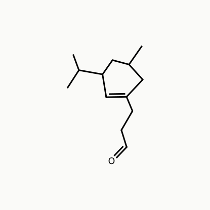 CC1CC(CCC=O)=CC(C(C)C)C1